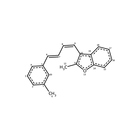 Cc1cccc(/C=C/C=C\c2c(C)oc3ccccc23)c1